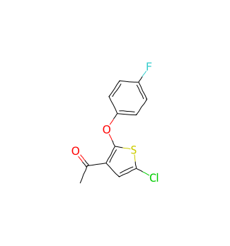 CC(=O)c1cc(Cl)sc1Oc1ccc(F)cc1